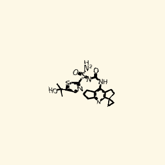 CC(C)(O)c1cnc([S@](N)(=O)=NC(=O)Nc2c3c(nc4c2CCC42CC2)CCC3)s1